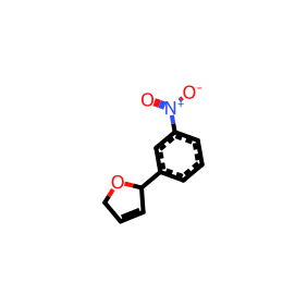 O=[N+]([O-])c1cccc(C2C=CCO2)c1